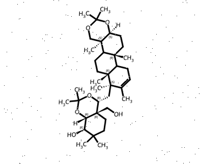 CC1=CCC2[C@@]3(C)CC[C@@H]4OC(C)(C)OC[C@]4(C)C3CC[C@@]2(C)[C@]1(C)C[C@H]1OC(C)(C)O[C@H]2[C@H](O)C(C)(C)CC[C@@]12CO